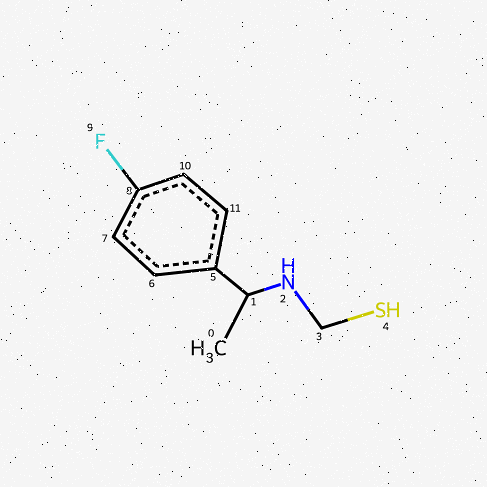 CC(NCS)c1ccc(F)cc1